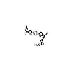 CNC1CC(n2cc(C#N)c3ccc(N4CCN(c5ccc(C(C)=O)cn5)CC4)nc32)C1